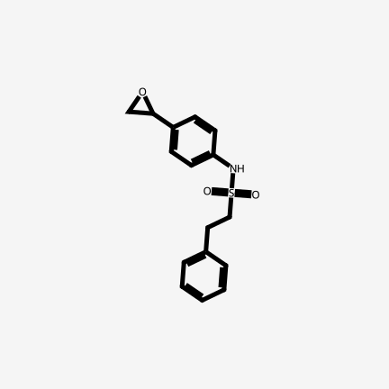 O=S(=O)(CCc1ccccc1)Nc1ccc(C2CO2)cc1